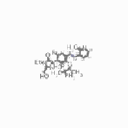 CCn1c(CO)nn(-c2cc(O[C@@H](C)C(C)(P)P)c(/C=C/c3cccnc3C)cc2F)c1=O